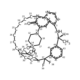 C[C@H]1Nc2ncnc3c2cc(N2CCS(=O)(=O)CC2)c(=O)n3CCCCCCCN2CCC(CC2(C)C)C(F)(F)c2cccc1c2